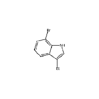 CCc1c[nH]c2c(Br)cccc12